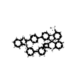 Nc1cccc2c1-c1ccc(-c3ccc(-c4nc5ccccc5n4-c4cccc(-c5ccccc5)c4)cc3)cc1C21c2ccccc2Sc2ccccc21